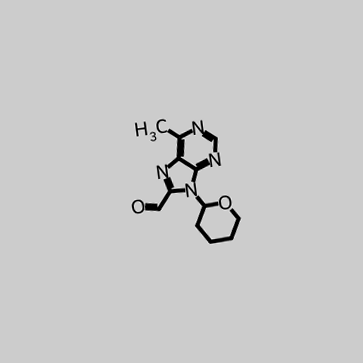 Cc1ncnc2c1nc(C=O)n2C1CCCCO1